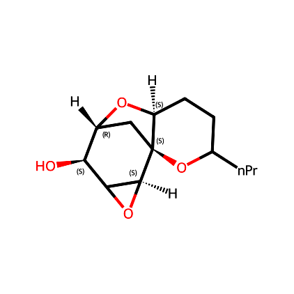 CCCC1CC[C@@H]2O[C@@H]3C[C@@]2(O1)[C@H]1OC1[C@H]3O